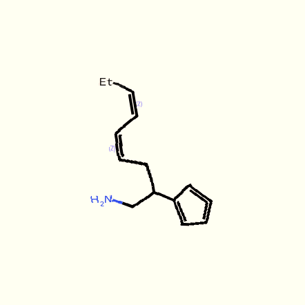 CC/C=C\C=C/CC(CN)C1=CC=C=C1